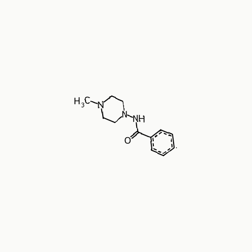 CN1CCN(NC(=O)c2cc[c]cc2)CC1